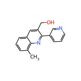 Cc1cccc2cc(CO)c(-c3cccnc3)nc12